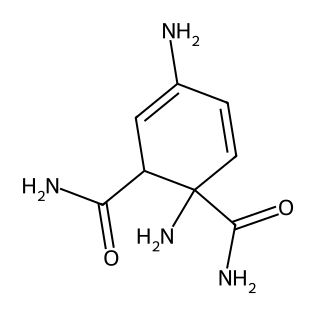 NC(=O)C1C=C(N)C=CC1(N)C(N)=O